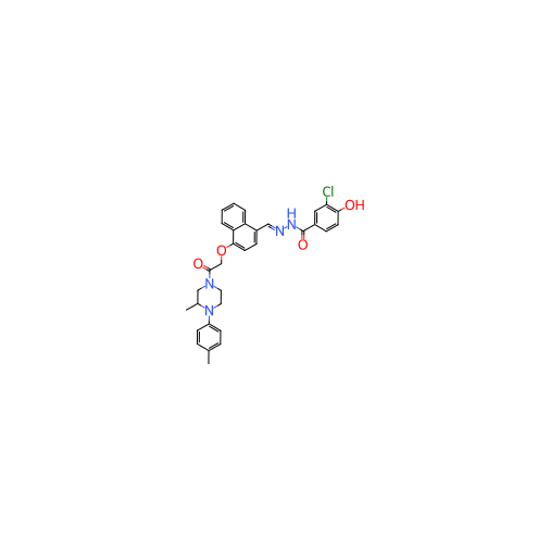 Cc1ccc(N2CCN(C(=O)COc3ccc(/C=N/NC(=O)c4ccc(O)c(Cl)c4)c4ccccc34)CC2C)cc1